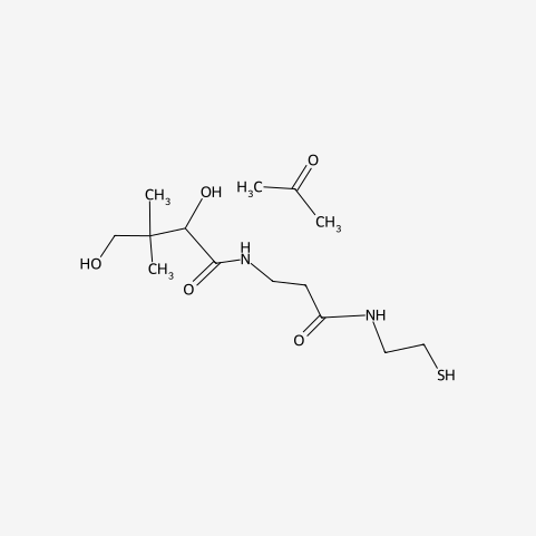 CC(C)(CO)C(O)C(=O)NCCC(=O)NCCS.CC(C)=O